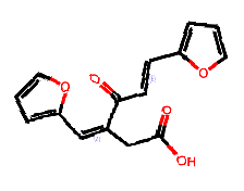 O=C(O)C/C(=C/c1ccco1)C(=O)/C=C/c1ccco1